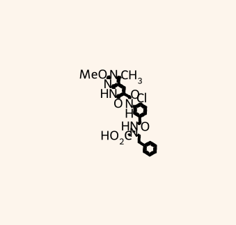 COc1nc(C)c2cc(C(=O)Nc3cc(C(=O)NN(CCc4ccccc4)C(=O)O)ccc3Cl)c(=O)[nH]c2n1